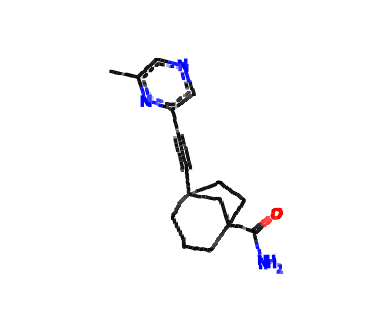 Cc1cncc(C#CC23CCCC(C(N)=O)(CC2)C3)n1